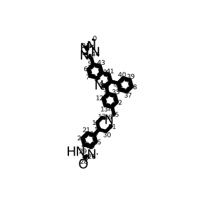 Cn1nnc(-c2ccc3nc(-c4ccc(CN5CCC(c6ccc7c(c6)[N]C(=O)N7)CC5)cc4)c(-c4ccccc4)cc3c2)n1